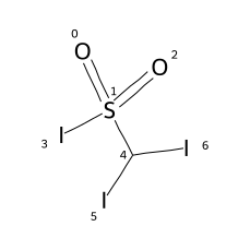 O=S(=O)(I)C(I)I